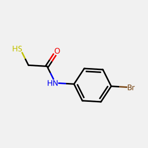 O=C(CS)Nc1ccc(Br)cc1